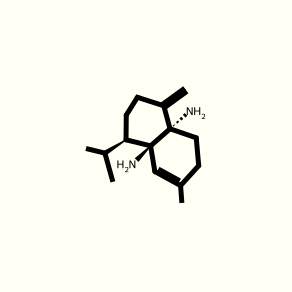 C=C1CC[C@H](C(C)C)[C@@]2(N)C=C(C)CC[C@]12N